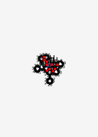 N=C(/N=C(\Nn1c2ccccc2c2ccccc21)c1ccc(-c2ccccc2)cc1)c1ccccc1-n1c2ccccc2c2ccc3c4ccccc4n(-c4ccccc4)c3c21